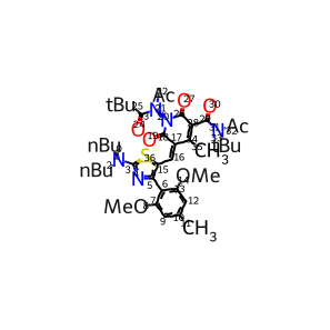 CCCCN(CCCC)c1nc(-c2c(OC)cc(C)cc2OC)c(/C=C2\C(=O)N(N(C(C)=O)C(=O)C(C)(C)C)C(=O)C(C(=O)N(C(C)=O)C(C)(C)C)=C2C)s1